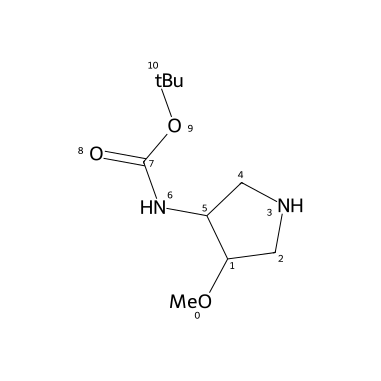 COC1CNCC1NC(=O)OC(C)(C)C